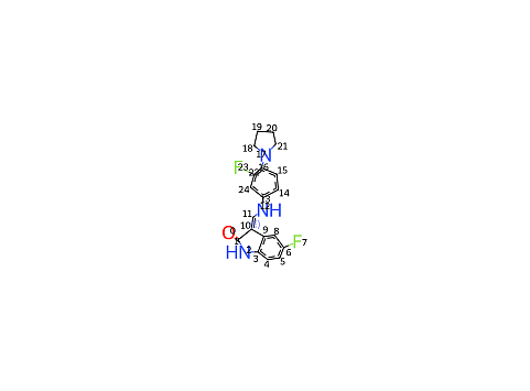 O=C1Nc2ccc(F)cc2/C1=C\Nc1ccc(N2CCCC2)c(F)c1